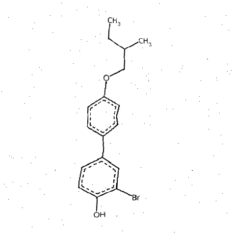 CCC(C)COc1ccc(-c2ccc(O)c(Br)c2)cc1